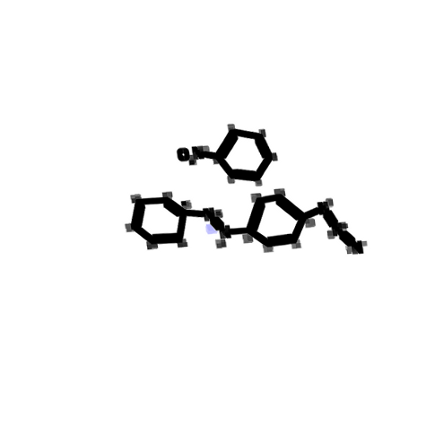 O=[N+]([O-])c1ccccc1.[N-]=[N+]=Nc1ccc(/N=N/c2ccccc2)cc1